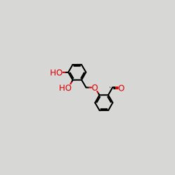 O=[C]c1ccccc1OCc1cccc(O)c1O